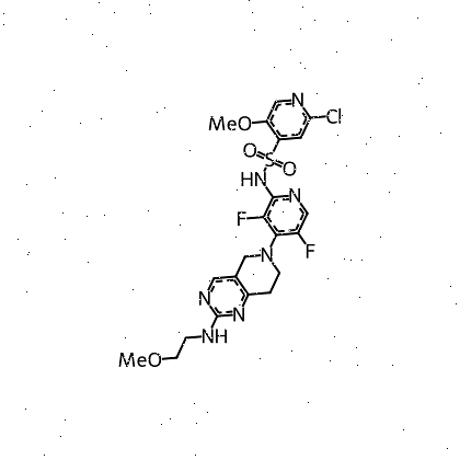 COCCNc1ncc2c(n1)CCN(c1c(F)cnc(NS(=O)(=O)c3cc(Cl)ncc3OC)c1F)C2